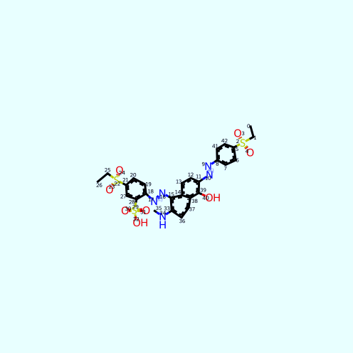 CCS(=O)(=O)c1ccc(/N=N/c2ccc3c(/N=N/c4ccc(S(=O)(=O)CC)cc4S(=O)(=O)O)c(NC)ccc3c2O)cc1